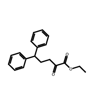 CCOC(=O)C(=O)CCC(c1ccccc1)c1ccccc1